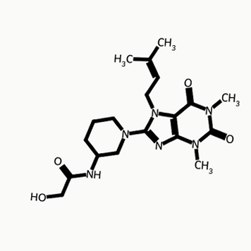 CC(C)=CCn1c(N2CCCC(NC(=O)CO)C2)nc2c1c(=O)n(C)c(=O)n2C